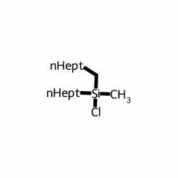 CCCCCCCC[Si](C)(Cl)CCCCCCC